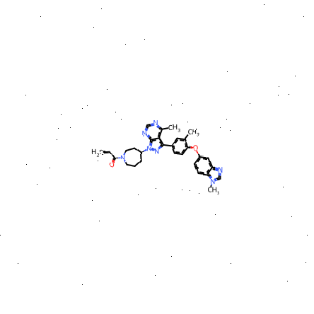 C=CC(=O)N1CCC[C@H](n2nc(-c3ccc(Oc4ccc5c(c4)ncn5C)c(C)c3)c3c(C)ncnc32)CC1